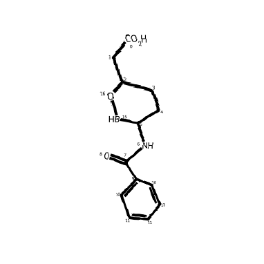 O=C(O)CC1CCC(NC(=O)c2ccccc2)BO1